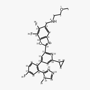 COCCNCc1cc2nc(-c3cc(-c4ccc(F)cc4-c4nncn4C)cc(C4CC4)n3)oc2c(F)c1F